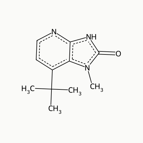 Cn1c(=O)[nH]c2nccc(C(C)(C)C)c21